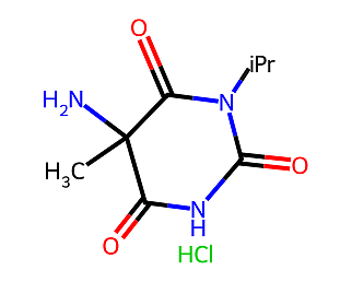 CC(C)N1C(=O)NC(=O)C(C)(N)C1=O.Cl